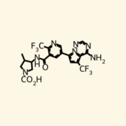 CC1CN(C(=O)O)CC1NC(=O)c1cc(-c2cc(C(F)(F)F)c3c(N)ncnn23)cnc1C(F)(F)F